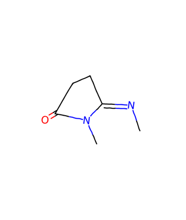 CN=C1CCC(=O)N1C